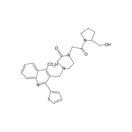 O=C(O)c1c(CN2CCN(CC(=O)N3CCCC3CO)C(=O)C2)c(-c2cccs2)nc2ccccc12